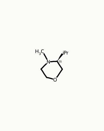 CC(C)[C@H]1COCCN1C